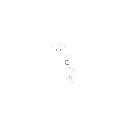 C=CS(=O)(=O)NC[C@H]1CCN(S(=O)(=O)c2ccc(CC(=O)N(CCCO)Cc3ccc(C(C)C)cc3)cc2)C1